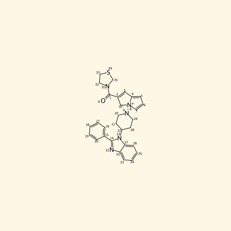 O=C(C1=CC2=CC=C[N@@+]2(N2CCC(n3c(-c4ccccc4)nc4ccccc43)CC2)C1)N1CCSC1